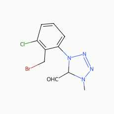 CN1N=NN(c2cccc(Cl)c2CBr)C1C=O